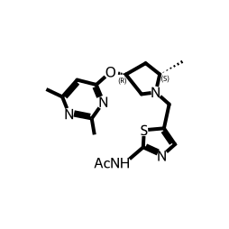 CC(=O)Nc1ncc(CN2C[C@H](Oc3cc(C)nc(C)n3)C[C@@H]2C)s1